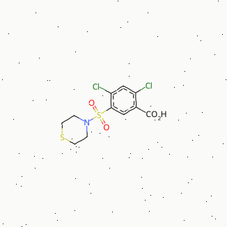 O=C(O)c1cc(S(=O)(=O)N2CCSCC2)c(Cl)cc1Cl